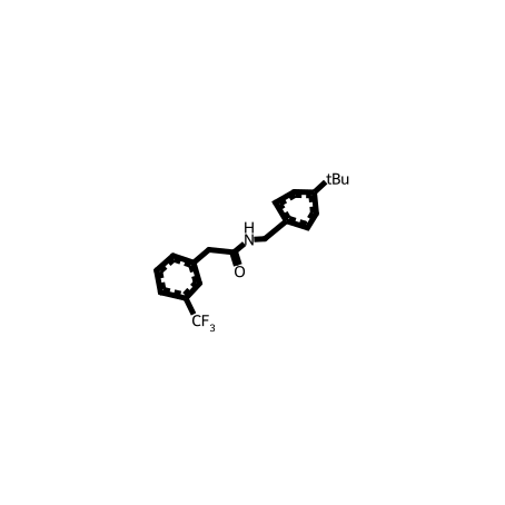 CC(C)(C)c1ccc(CNC(=O)Cc2cccc(C(F)(F)F)c2)cc1